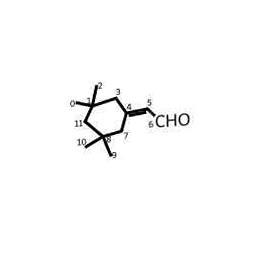 CC1(C)CC(=CC=O)CC(C)(C)C1